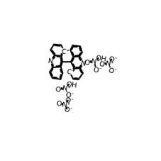 O=[N+]([O-])O.O=[N+]([O-])O.O=[N+]([O-])[O-].O=[N+]([O-])[O-].[C+]1=c2c(-c3c4c(nc5ccccc35)=CC=C[C+]=4)c3ccccc3nc2=CC=C1